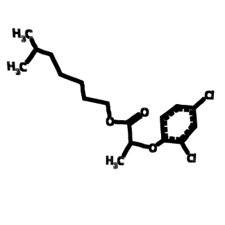 CC(C)CCCCCOC(=O)C(C)Oc1ccc(Cl)cc1Cl